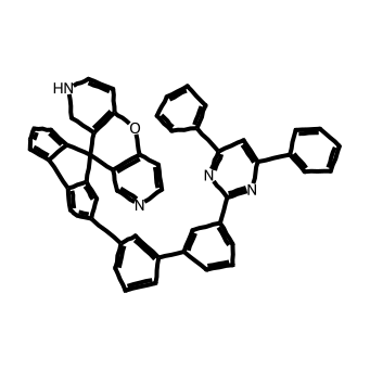 C1=CC2=C(CN1)C1(c3cnccc3O2)c2ccccc2-c2ccc(-c3cccc(-c4cccc(-c5nc(-c6ccccc6)cc(-c6ccccc6)n5)c4)c3)cc21